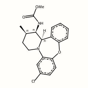 COC(=O)N[C@@H]1[C@H](C)CCN2c3cc(Cl)ccc3Oc3ccccc3[C@H]12